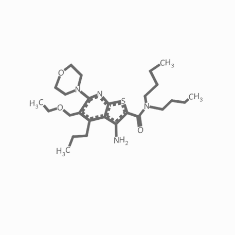 CCCCN(CCCC)C(=O)c1sc2nc(N3CCOCC3)c(COCC)c(CCC)c2c1N